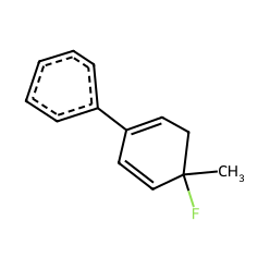 CC1(F)C=CC(c2ccccc2)=CC1